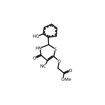 COC(=O)COC1=C(C#N)C(=O)NC(c2ccccc2O)S1